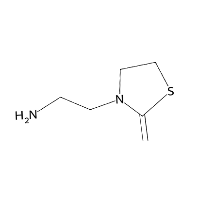 C=C1SCCN1CCN